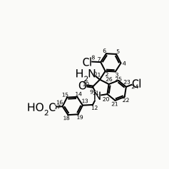 NC1(c2ccccc2Cl)C(=O)N(Cc2ccc(C(=O)O)cc2)c2ccc(Cl)cc21